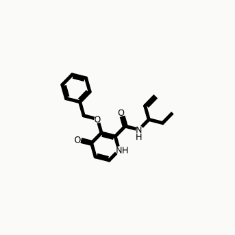 C=CC(CC)NC(=O)c1[nH]ccc(=O)c1OCc1ccccc1